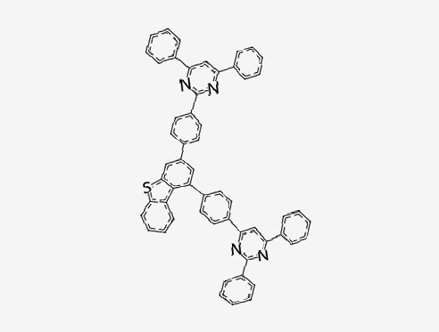 c1ccc(-c2cc(-c3ccc(-c4cc(-c5ccc(-c6nc(-c7ccccc7)cc(-c7ccccc7)n6)cc5)cc5sc6ccccc6c45)cc3)nc(-c3ccccc3)n2)cc1